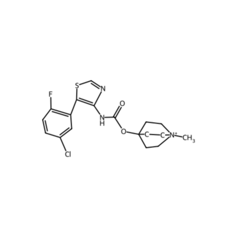 C[N+]12CCC(OC(=O)Nc3ncsc3-c3cc(Cl)ccc3F)(CC1)CC2